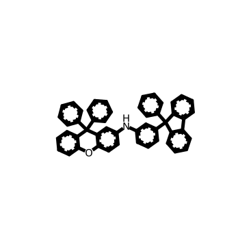 c1ccc(C2(c3ccccc3)c3ccccc3Oc3ccc(Nc4cccc(C5(c6ccccc6)c6ccccc6-c6ccccc65)c4)cc32)cc1